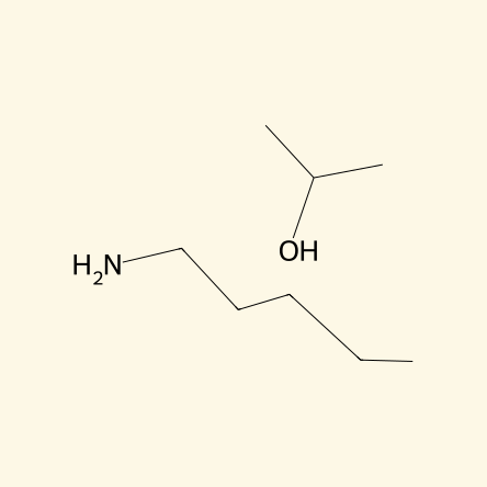 CC(C)O.CCCCCN